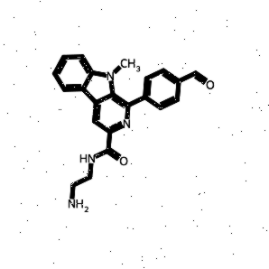 Cn1c2ccccc2c2cc(C(=O)NCCN)nc(-c3ccc(C=O)cc3)c21